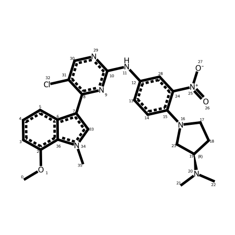 COc1cccc2c(-c3nc(Nc4ccc(N5CC[C@@H](N(C)C)C5)c([N+](=O)[O-])c4)ncc3Cl)cn(C)c12